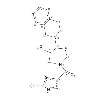 O=C(c1cnc(Cl)s1)N1CCC(N2CCc3ccccc3C2)C(O)C1